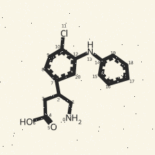 NCC(CC(=O)O)c1ccc(Cl)c(Nc2ccccc2)c1